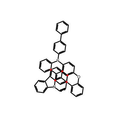 c1ccc(-c2ccc(N(c3ccc4c(c3)C3(c5ccccc5O4)c4ccccc4-n4c5ccccc5c5cccc3c54)c3ccccc3-c3ccccc3)cc2)cc1